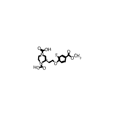 COC(=O)c1ccc(OCC[C@@H]2CN(C(=O)O)CCN2C(=O)O)c(F)c1